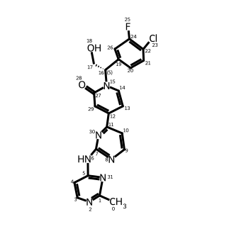 Cc1nccc(Nc2nccc(-c3ccn([C@H](CO)c4ccc(Cl)c(F)c4)c(=O)c3)n2)n1